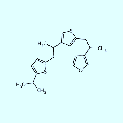 CC(C)c1ccc(CC(C)c2csc(CC(C)c3ccoc3)c2)s1